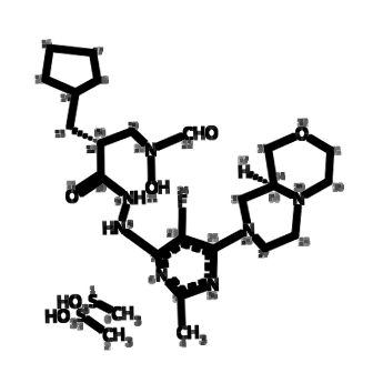 CS(=O)(=O)O.CS(=O)(=O)O.Cc1nc(NNC(=O)[C@H](CC2CCCC2)CN(O)C=O)c(F)c(N2CCN3CCOC[C@@H]3C2)n1